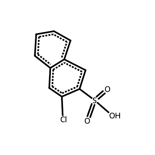 O=S(=O)(O)c1cc2ccccc2cc1Cl